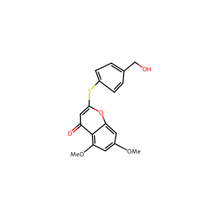 COc1cc(OC)c2c(=O)cc(Sc3ccc(CO)cc3)oc2c1